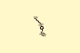 CCOP(=O)(OCC)OCc1ccc(S(=O)(=O)CCCCCCOC(C)=O)cc1